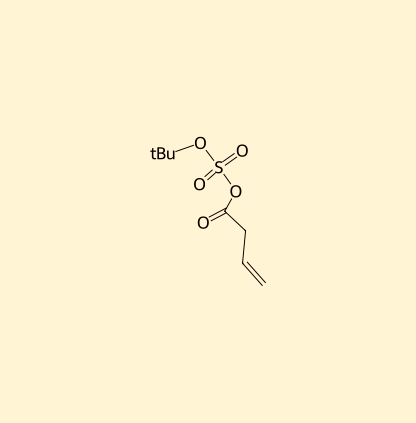 C=CCC(=O)OS(=O)(=O)OC(C)(C)C